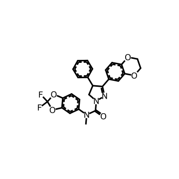 CN(C(=O)N1CC(c2ccccc2)C(c2ccc3c(c2)OCCO3)=N1)c1ccc2c(c1)OC(F)(F)O2